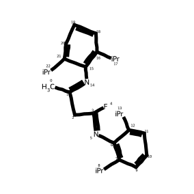 CC(CC(F)=Nc1c(C(C)C)cccc1C(C)C)=Nc1c(C(C)C)cccc1C(C)C